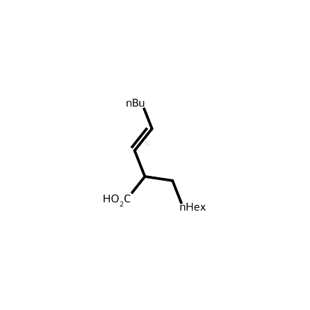 CCCC/C=C/C(CCCCCCC)C(=O)O